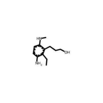 CCc1c(N)ccc(NC)c1CCCO